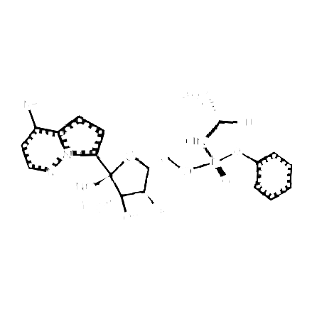 CCOC(=O)[C@H](C)NP(=O)(OC[C@H]1O[C@@](C#N)(c2ccc3c(N)ccnn23)[C@](C)(O)[C@@H]1O)Oc1ccccc1